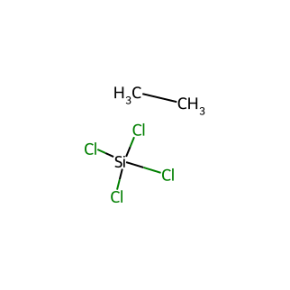 CC.Cl[Si](Cl)(Cl)Cl